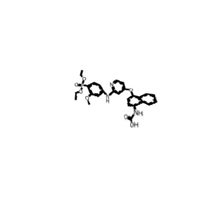 CCOP(=O)(OCC)c1ccc(Nc2cc(Oc3ccc(NC(=O)O)c4ccccc34)ccn2)cc1OC